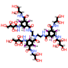 O=C(NCCN(CCNC(=O)c1c(I)c(NC(=O)C(O)C(O)CO)c(I)c(C(=O)NCC(O)CO)c1I)C(=O)c1c(I)c(NC(=O)C(O)C(O)CO)c(I)c(C(=O)NCC(O)CO)c1I)c1c(I)c(NC(=O)C(O)C(O)CO)c(I)c(C(=O)NCC(O)CO)c1I